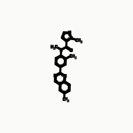 Cc1cc(-c2ncc3cc(C(F)(F)F)ccc3n2)ccc1N(C)C(=O)c1ccnn1C